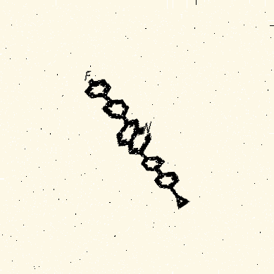 Fc1ccc(-c2ccc(-c3ccc4cc(-c5ccc(-c6ccc(C7CC7)cc6)cc5)cnc4c3)cc2)cc1